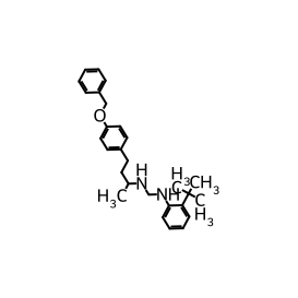 CC(CCc1ccc(OCc2ccccc2)cc1)NCNc1ccccc1C(C)(C)C